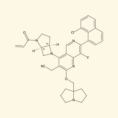 C=CC(=O)N1CC[C@@H]2[C@H]1CN2c1c(CC#N)c(OCC23CCCN2CCC3)nc2c(F)c(-c3cccc4cccc(Cl)c34)ncc12